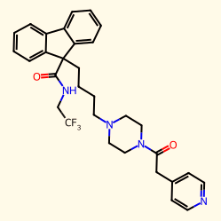 O=C(Cc1ccncc1)N1CCN(CCCCC2(C(=O)NCC(F)(F)F)c3ccccc3-c3ccccc32)CC1